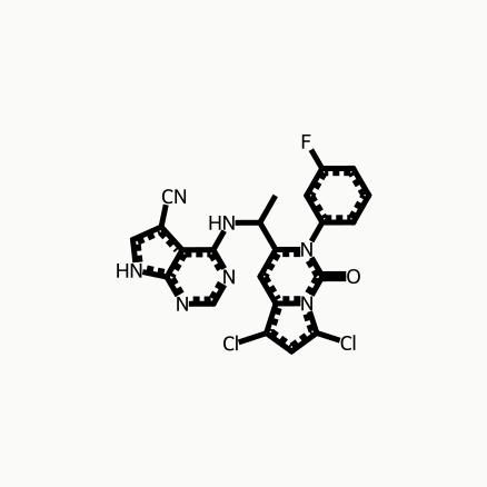 CC(Nc1ncnc2[nH]cc(C#N)c12)c1cc2c(Cl)cc(Cl)n2c(=O)n1-c1cccc(F)c1